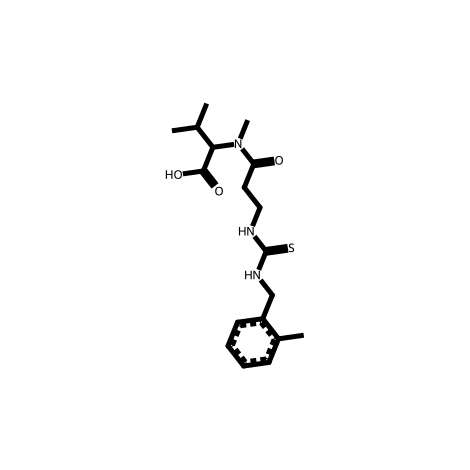 Cc1ccccc1CNC(=S)NCCC(=O)N(C)C(C(=O)O)C(C)C